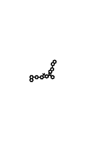 CC1(C)c2cc(-c3ccc(-c4cccc5ccccc45)cc3)ccc2-c2ccc(N(c3ccccc3)c3ccc4cc(-c5ccc6ccccc6c5)ccc4c3)cc21